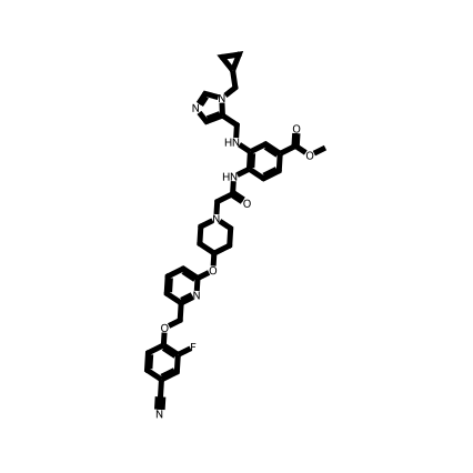 COC(=O)c1ccc(NC(=O)CN2CCC(Oc3cccc(COc4ccc(C#N)cc4F)n3)CC2)c(NCc2cncn2CC2CC2)c1